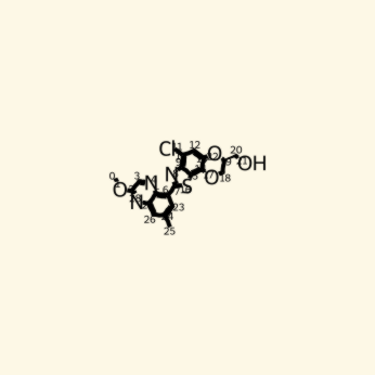 COc1cnc2c(-c3nc4c(Cl)cc5c(c4s3)OC[C@H](CO)O5)cc(C)cc2n1